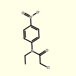 CCN(C(=O)CCl)c1ccc([N+](=O)[O-])cc1